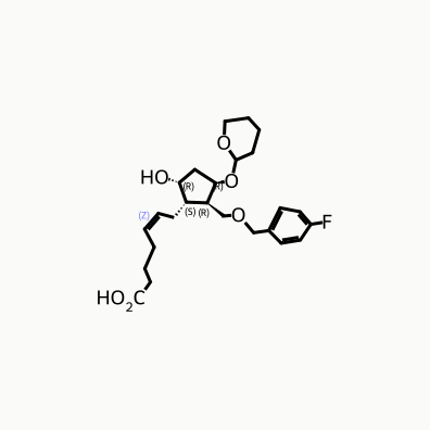 O=C(O)CCC/C=C\C[C@H]1[C@H](COCc2ccc(F)cc2)[C@H](OC2CCCCO2)C[C@H]1O